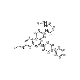 CC=Nc1ccc2c(c1)nc(N1CCC(c3ccccc3)CC1)c1cc(N=CC)ccc12.CCNCC